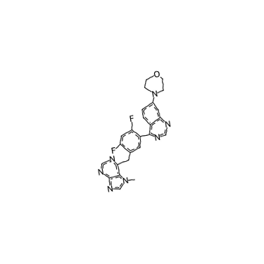 Cn1cnc2ncnc(Cc3cc(-c4ncnc5cc(N6CCOCC6)ccc45)c(F)cc3F)c21